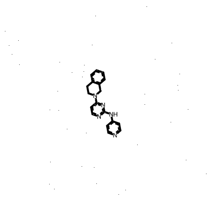 c1ccc2c(c1)CCN(c1ccnc(Nc3ccncc3)n1)C2